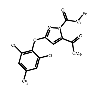 CCNC(=O)n1nc(Oc2c(Cl)cc(C(F)(F)F)cc2Cl)cc1C(=O)OC